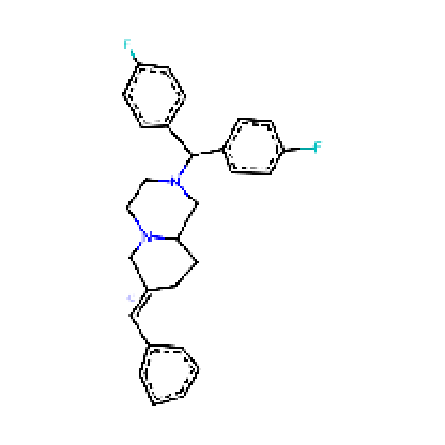 Fc1ccc(C(c2ccc(F)cc2)N2CCN3C/C(=C/c4ccccc4)CCC3C2)cc1